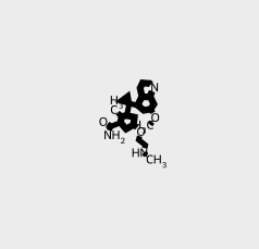 CNCCOc1cc(C(N)=O)c(C)c(C2(c3cc(OC)cc4ncccc34)CC2)c1